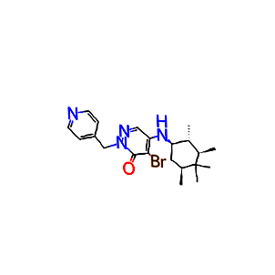 C[C@@H]1[C@@H](C)C(C)(C)[C@@H](C)C[C@H]1Nc1cnn(Cc2ccncc2)c(=O)c1Br